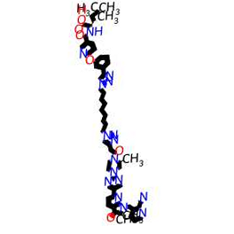 C[C@@H]1CN(c2ncc(-c3ccc4c(n3)N(Cc3cccnc3C#N)C(C)(C)C4=O)cn2)CCN1C(=O)Cc1cn(CCCCCCCCCn2cc(-c3cccc(Oc4ccc(C(=O)N[C@@H](CCC(C)(C)C)C(=O)O)cn4)c3)nn2)nn1